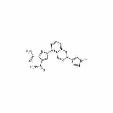 Cn1cc(-c2cc3cccc(-n4cc(C(N)=O)c(C(N)=O)n4)c3cn2)cn1